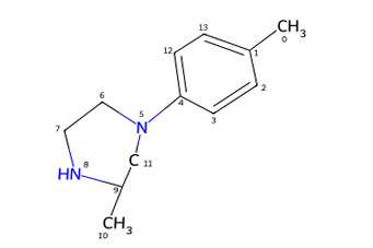 Cc1ccc(N2CCNC(C)C2)cc1